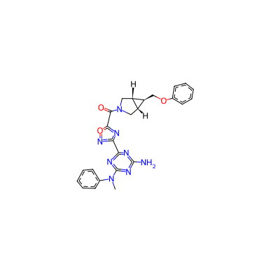 CN(c1ccccc1)c1nc(N)nc(-c2noc(C(=O)N3C[C@@H]4[C@@H](COc5ccccc5)[C@@H]4C3)n2)n1